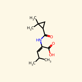 CC(C)/C=C(/NC(=O)C1CC1(C)C)C(=O)O